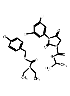 CC(C)NC(=O)N1CC(=O)N(c2cc(Cl)cc(Cl)c2)C1=O.CCN(CC)C(=O)SCc1ccc(Cl)cc1